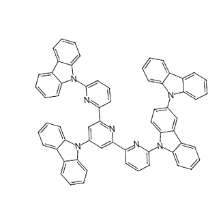 c1cc(-c2cc(-n3c4ccccc4c4ccccc43)cc(-c3cccc(-n4c5ccccc5c5cc(-n6c7ccccc7c7ccccc76)ccc54)n3)n2)nc(-n2c3ccccc3c3ccccc32)c1